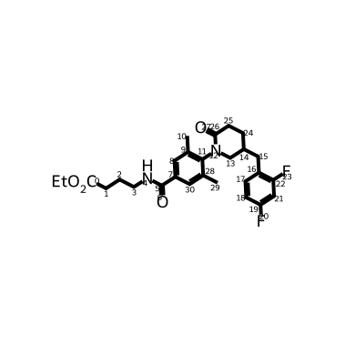 CCOC(=O)CCCNC(=O)c1cc(C)c(N2CC(Cc3ccc(F)cc3F)CCC2=O)c(C)c1